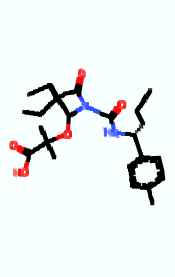 CCC[C@@H](NC(=O)N1C(=O)C(CC)(CC)C1OC(C)(C)C(=O)O)c1ccc(C)cc1